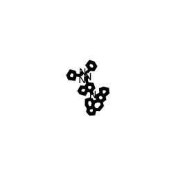 C1=Cc2cc3ccccc3c3c2c2c4c1cccc4ccc2n3-c1ccc(-c2nc(-c3ccccc3)nc(-c3ccccc3)n2)c2ccccc12